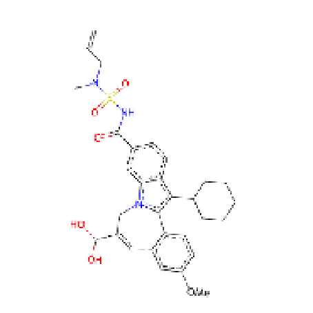 C=CCN(C)S(=O)(=O)NC(=O)c1ccc2c(C3CCCCC3)c3n(c2c1)CC(C(O)O)=Cc1cc(OC)ccc1-3